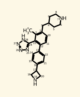 Cc1c(CC2CCNCC2)ccc(-c2ccc(C3CNC3)cc2)c1-c1nnn[nH]1